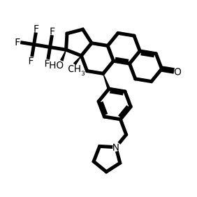 C[C@]12C[C@H](c3ccc(CN4CCCC4)cc3)C3=C4CCC(=O)C=C4CCC3C1CC[C@@]2(O)C(F)(F)C(F)(F)F